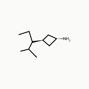 CCC(C(C)C)[C@H]1C[C@H](N)C1